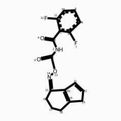 O=C(NC(=O)c1c(F)cccc1F)O/N=C1/CCCC2=C1C=CC2